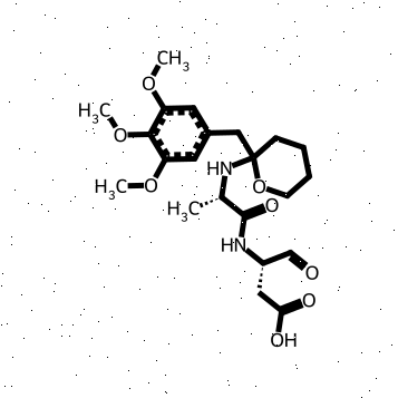 COc1cc(CC2(N[C@@H](C)C(=O)N[C@H](C=O)CC(=O)O)CCCCO2)cc(OC)c1OC